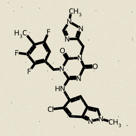 Cc1c(F)cc(Cn2c(Nc3cc4cn(C)nc4cc3Cl)nc(=O)n(Cc3ncn(C)n3)c2=O)c(F)c1F